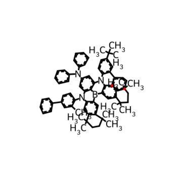 Cc1cc(-c2ccccc2)ccc1N1c2cc3c(cc2B2c4cc5c(cc4N(c4ccc(C(C)(C)C)cc4-c4ccccc4)c4cc(N(c6ccccc6)c6ccccc6)cc1c42)C(C)(C)CCC5(C)C)C(C)(C)CCC3(C)C